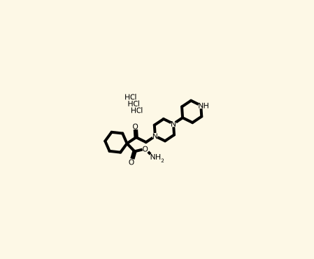 Cl.Cl.Cl.NOC(=O)C1(C(=O)CN2CCN(C3CCNCC3)CC2)CCCCC1